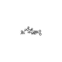 CCNC(=O)CCCOc1ccc(CN(CCNC)C(=O)CCC(NC(=O)OCC2c3ccccc3-c3ccccc32)C(=O)OC(C)(C)C)c(OC)c1